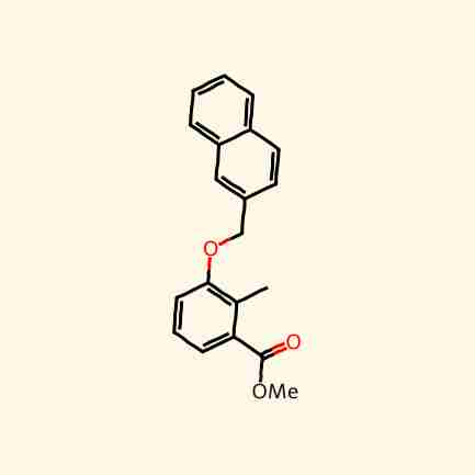 COC(=O)c1cccc(OCc2ccc3ccccc3c2)c1C